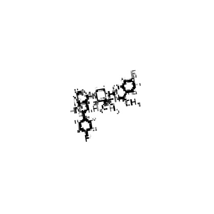 CC(NC(=O)N1CCN(c2ncnc3[nH]c(-c4ccc(F)cc4)cc23)CC1(C)C)c1ccc(F)cc1